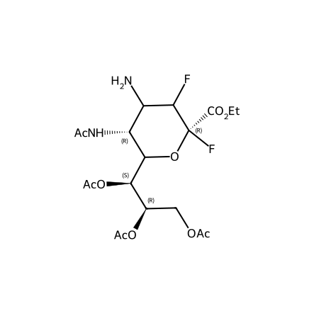 CCOC(=O)[C@]1(F)OC([C@H](OC(C)=O)[C@@H](COC(C)=O)OC(C)=O)[C@H](NC(C)=O)C(N)C1F